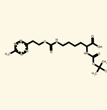 Cc1nnc(CCOC(=O)NCCCCC(NC(=O)OC(C)(C)C)C(=O)O)nn1